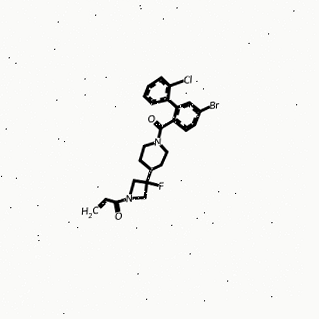 C=CC(=O)N1CC(F)(C2CCN(C(=O)c3ccc(Br)cc3-c3ccccc3Cl)CC2)C1